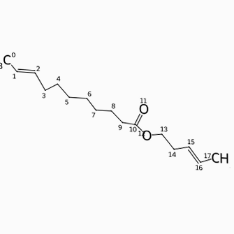 CC=CCCCCCCCC(=O)OCC/C=C/C